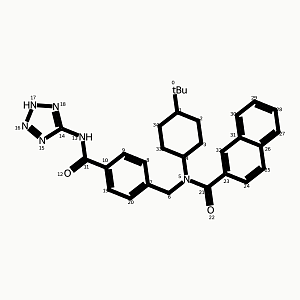 CC(C)(C)C1CCC(N(Cc2ccc(C(=O)Nc3nn[nH]n3)cc2)C(=O)c2ccc3ccccc3c2)CC1